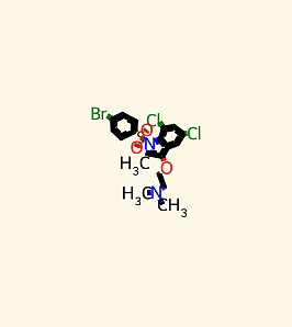 Cc1c(OCCN(C)C)c2cc(Cl)cc(Cl)c2n1S(=O)(=O)c1ccc(Br)cc1